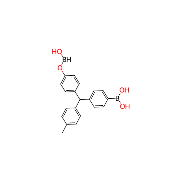 Cc1ccc(C(c2ccc(OBO)cc2)c2ccc(B(O)O)cc2)cc1